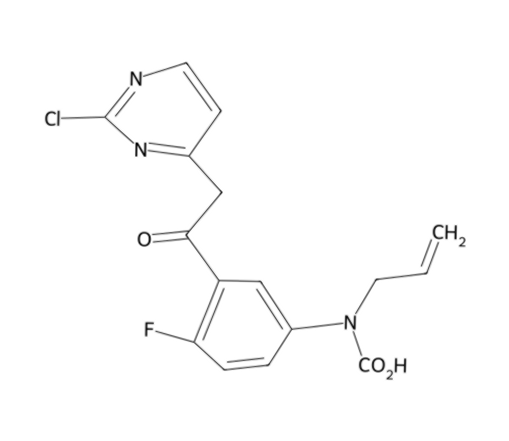 C=CCN(C(=O)O)c1ccc(F)c(C(=O)Cc2ccnc(Cl)n2)c1